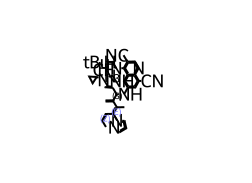 C=C(/C(C)=C(\C=C/C)n1cccn1)[C@H](Nc1cc(C#N)c2ncc(C#N)c(NCC(C)(C)C)c2c1)C1=CN(C2(C(F)(F)F)CC2)NN1